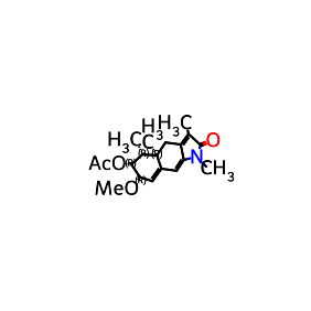 CO[C@@H]1C=C2C=C3C(=C(C)C(=O)N3C)C[C@]2(C)[C@@H](C)[C@H]1OC(C)=O